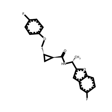 C[C@@H](NC(=O)[C@H]1C[C@@H]1COc1ccc(F)cc1)c1cc2cc(F)ccc2o1